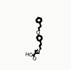 O=C(O)C1CN(CC=Cc2ccc(OCCCc3ccccc3)cc2)C1